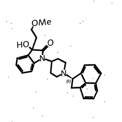 COCCC1(O)C(=O)N(C2CCN([C@@H]3Cc4cccc5cccc3c45)CC2)c2ccccc21